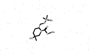 CC1(O)CC[C@@H](CO[Si](C)(C)C(C)(C)C)N(C(=O)OC(C)(C)C)C1